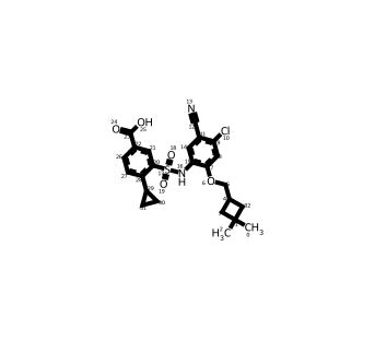 CC1(C)CC(COc2cc(Cl)c(C#N)cc2NS(=O)(=O)c2cc(C(=O)O)ccc2C2CC2)C1